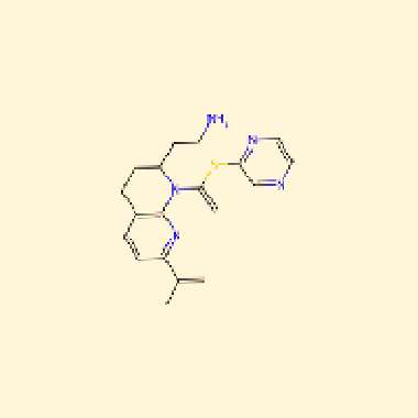 C=C(C)c1ccc2c(n1)N(C(=C)Sc1cnccn1)C(CCN)CC2